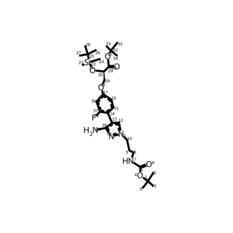 CC(C)(C)OC(=O)NCCCn1cc(-c2ccc(OC[C@@H](O[Si](C)(C)C(C)(C)C)C(=O)OC(C)(C)C)cc2F)c(N)n1